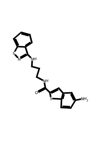 Nc1ccc2sc(C(=O)NCCCNc3nsc4ccccc34)cc2c1